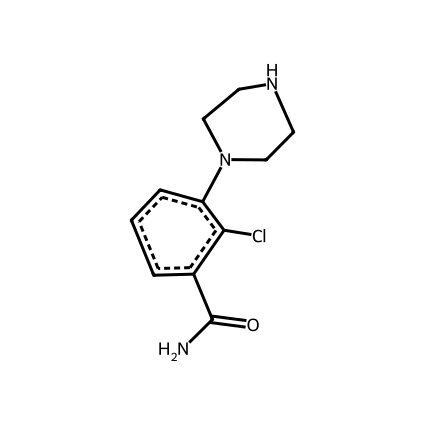 NC(=O)c1cccc(N2CCNCC2)c1Cl